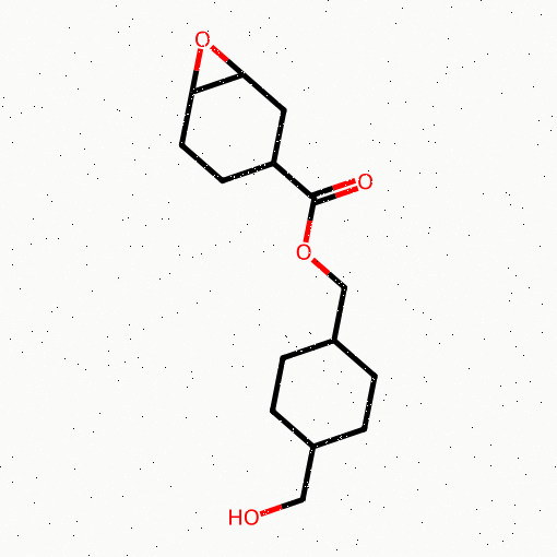 O=C(OCC1CCC(CO)CC1)C1CCC2OC2C1